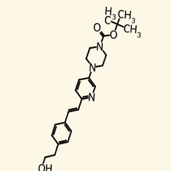 CC(C)(C)OC(=O)N1CCN(c2ccc(C=Cc3ccc(CCO)cc3)nc2)CC1